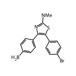 Bc1ccc(-c2nc(NC)sc2-c2ccc(Br)cc2)cc1